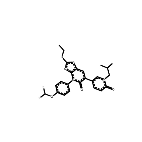 CCOc1nc2c(cc(-c3ccc(=O)n(CC(C)C)c3)c(=O)n2-c2ccc(OC(F)F)cc2)s1